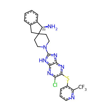 N[C@@H]1c2ccccc2CC12CCN(c1nc3nc(Sc4cccnc4C(F)(F)F)c(Cl)nc3[nH]1)CC2